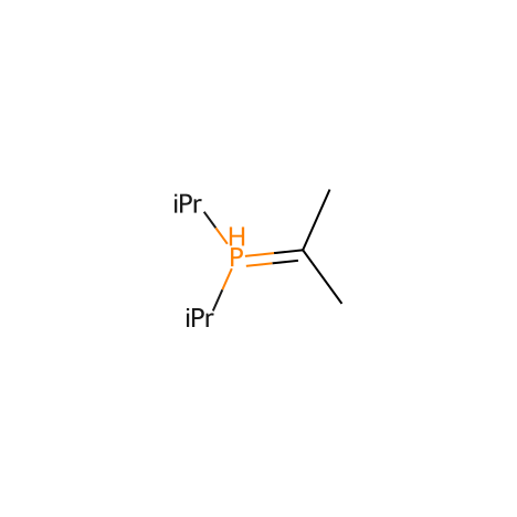 CC(C)=[PH](C(C)C)C(C)C